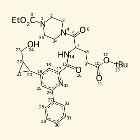 CCOC(=O)N1CCN(C(=O)C(CCC(=O)OC(C)(C)C)NC(=O)c2cc(C3CC3CO)cc(-c3ccccc3)n2)CC1